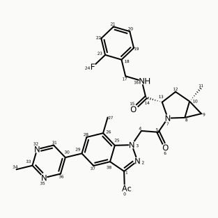 CC(=O)c1nn(CC(=O)N2C3C[C@]3(C)C[C@H]2C(=O)NCc2ccccc2F)c2c(C)cc(-c3cnc(C)nc3)cc12